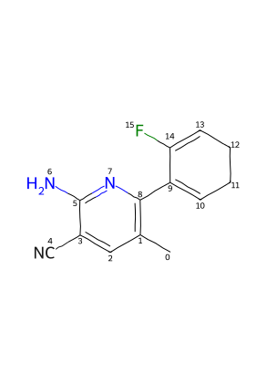 Cc1cc(C#N)c(N)nc1C1=CCCC=C1F